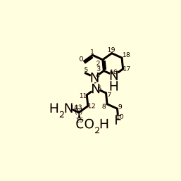 C=CC1=C(N(C)N(CCCF)CC[C@H](N)C(=O)O)NCCC1